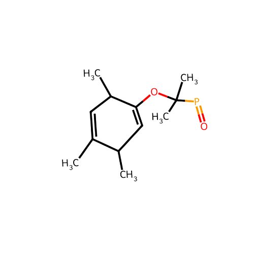 CC1=CC(C)C(OC(C)(C)P=O)=CC1C